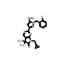 COc1cc(-c2ncc3c(n2)N(CC2CC2)C(=O)C3(C)C)nn1Cc1ccccc1F